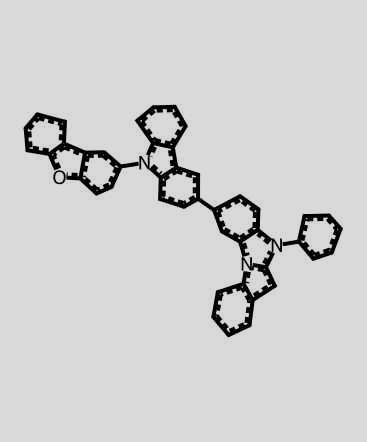 c1ccc(-n2c3ccc(-c4ccc5c(c4)c4ccccc4n5-c4ccc5oc6ccccc6c5c4)cc3n3c4ccccc4cc23)cc1